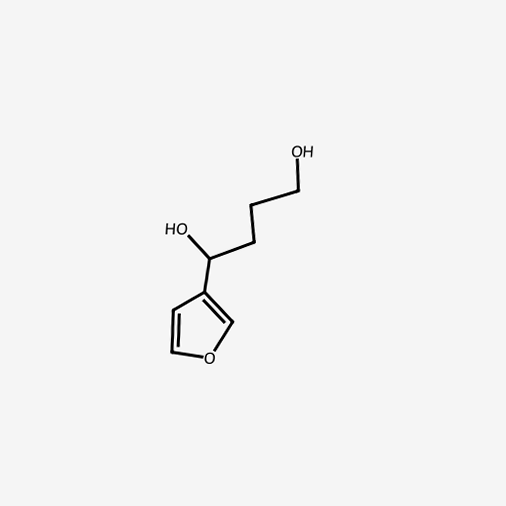 OCCCC(O)c1ccoc1